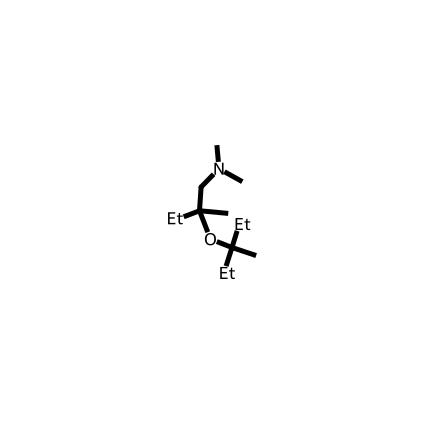 CCC(C)(CC)OC(C)(CC)CN(C)C